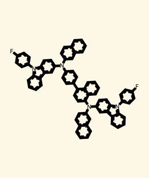 Fc1ccc(-n2c3ccccc3c3cc(N(c4ccc(-c5ccc(N(c6ccc7ccccc7c6)c6ccc7c(c6)c6ccccc6n7-c6ccc(F)cc6)c6ccccc56)cc4)c4ccc5ccccc5c4)ccc32)cc1